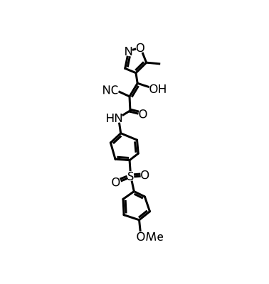 COc1ccc(S(=O)(=O)c2ccc(NC(=O)/C(C#N)=C(\O)c3cnoc3C)cc2)cc1